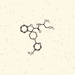 CCC(C)NC(=O)C1Oc2ccccc2C12CCN(c1cc(N)ccn1)CC2